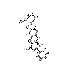 NC(=O)/C(=C\c1ccc(Oc2ccccc2Br)cc1)NC(=O)c1ccccc1